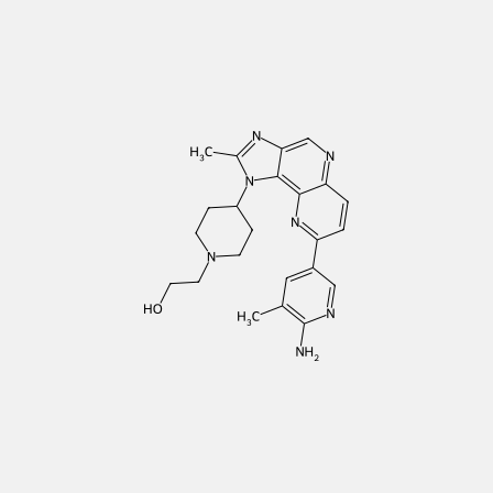 Cc1cc(-c2ccc3ncc4nc(C)n(C5CCN(CCO)CC5)c4c3n2)cnc1N